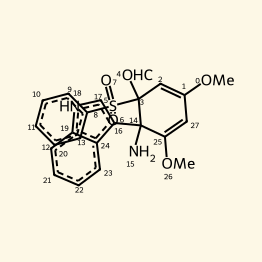 COC1=CC(C=O)(S(=O)(=O)c2ccccc2)C(N)(c2c[nH]c3ccccc23)C(OC)=C1